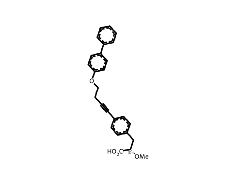 CO[C@@H](Cc1ccc(C#CCCOc2ccc(-c3ccccc3)cc2)cc1)C(=O)O